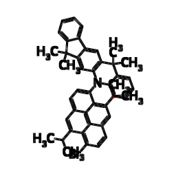 CC(C)c1cc2ccc(N3c4ccccc4C(C)(C)c4cc5c(cc43)C(C)(C)c3ccccc3-5)c3c(C(C)C)cc4ccc(Br)c1c4c23